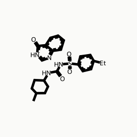 CCc1ccc(S(=O)(=O)NC(=O)NC2CCC(C)CC2)cc1.O=c1[nH]cnc2ccccc12